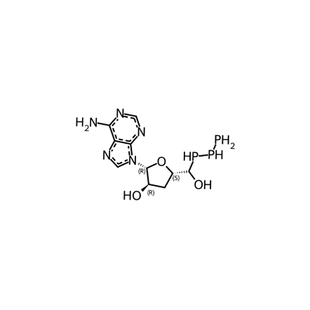 Nc1ncnc2c1ncn2[C@@H]1O[C@H](C(O)PPP)C[C@H]1O